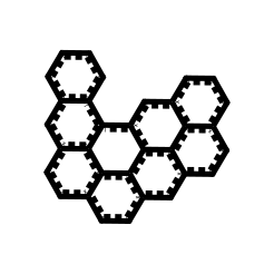 c1ccc2c(c1)cc1ccc3ccc4cc5ccc6cccc7cc8c2c1c3c4c8c5c67